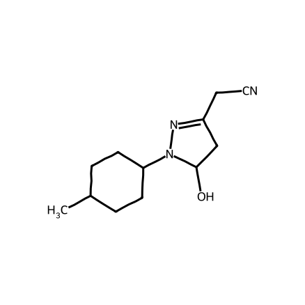 CC1CCC(N2N=C(CC#N)CC2O)CC1